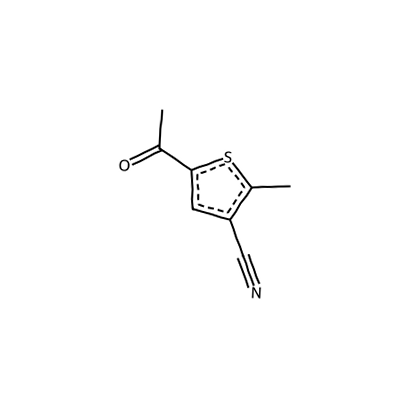 CC(=O)c1cc(C#N)c(C)s1